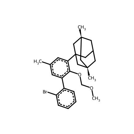 COCOc1c(-c2ccccc2Br)cc(C)cc1C12CC3C[C@@](C)(C1)C[C@](C)(C3)C2